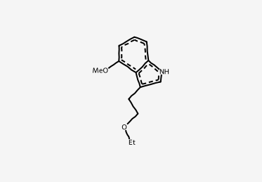 CCOCCc1c[nH]c2cccc(OC)c12